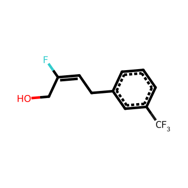 OC/C(F)=C\Cc1cccc(C(F)(F)F)c1